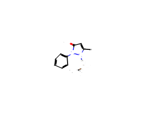 Cc1cc(=O)n(-c2ccccc2)n1C.N#CS.[Zn]